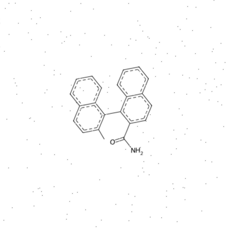 Cc1ccc2ccccc2c1-c1c(C(N)=O)ccc2ccccc12